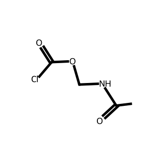 CC(=O)NCOC(=O)Cl